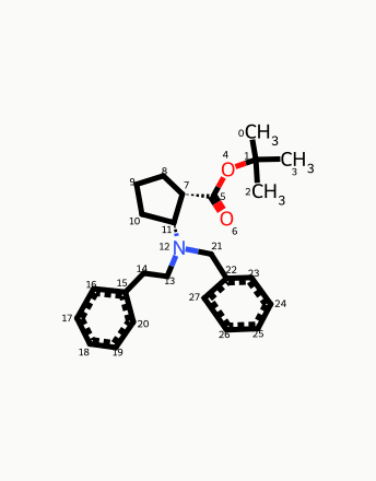 CC(C)(C)OC(=O)[C@H]1CCC[C@H]1N(CCc1ccccc1)Cc1ccccc1